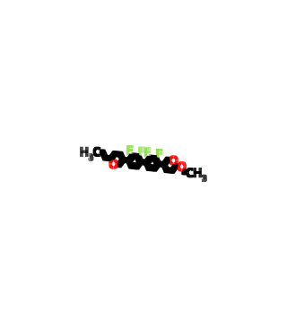 CCCC1CCC(c2ccc(-c3ccc(C4CCC(OCC)OC4)c(F)c3F)c(F)c2F)CO1